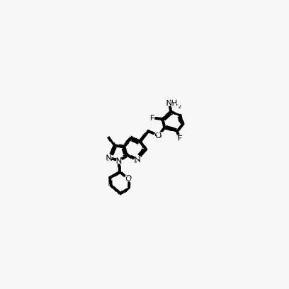 Cc1nn(C2CCCCO2)c2ncc(COc3c(F)ccc(N)c3F)cc12